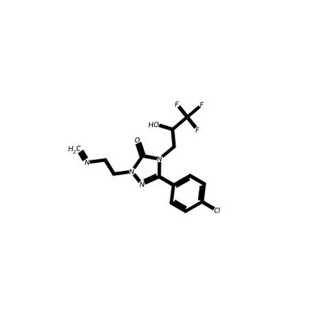 C=NCCn1nc(-c2ccc(Cl)cc2)n(CC(O)C(F)(F)F)c1=O